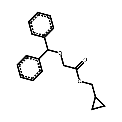 O=C(COC(c1ccccc1)c1ccccc1)OCC1CC1